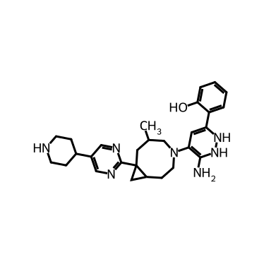 CC1CN(C2=C(N)NNC(c3ccccc3O)=C2)CCC2CC2(c2ncc(C3CCNCC3)cn2)C1